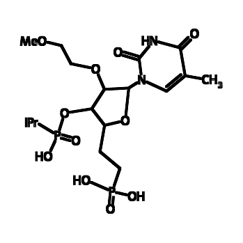 COCCOC1C(OP(=O)(O)C(C)C)C(CCP(=O)(O)O)OC1n1cc(C)c(=O)[nH]c1=O